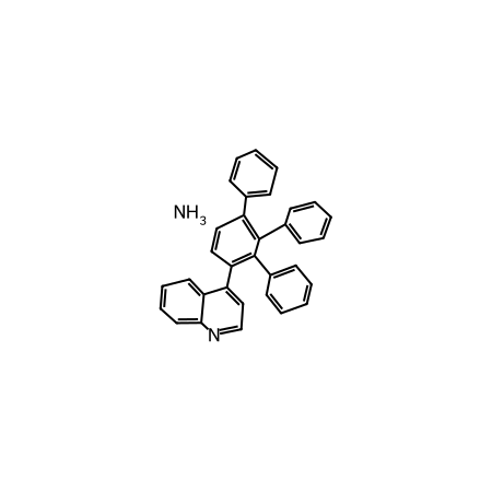 N.c1ccc(-c2ccc(-c3ccnc4ccccc34)c(-c3ccccc3)c2-c2ccccc2)cc1